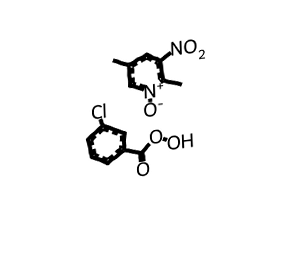 Cc1cc([N+](=O)[O-])c(C)[n+]([O-])c1.O=C(OO)c1cccc(Cl)c1